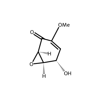 COC1=C[C@H](O)[C@H]2O[C@H]2C1=O